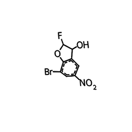 O=[N+]([O-])c1cc(Br)c2c(c1)C(O)C(F)O2